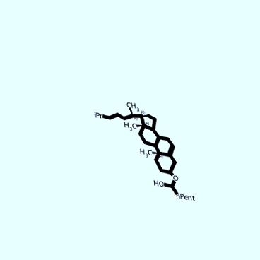 CCCCCC(O)OC1CC[C@@]2(C)C(=CCC3C2CC[C@@]2(C)C3CC[C@@H]2[C@H](C)CCCC(C)C)C1